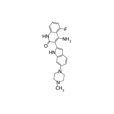 CN1CCN(c2ccc3cc(-c4c(N)c5c(F)cccc5[nH]c4=O)[nH]c3c2)CC1